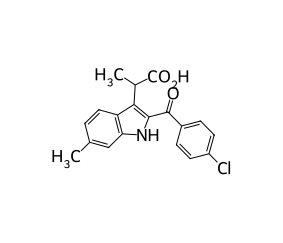 Cc1ccc2c(C(C)C(=O)O)c(C(=O)c3ccc(Cl)cc3)[nH]c2c1